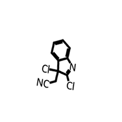 N#CCC1(Cl)C(Cl)=Nc2ccccc21